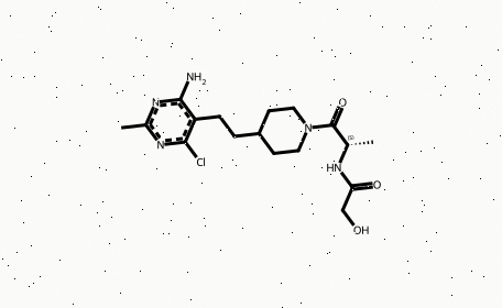 Cc1nc(N)c(CCC2CCN(C(=O)[C@H](C)NC(=O)CO)CC2)c(Cl)n1